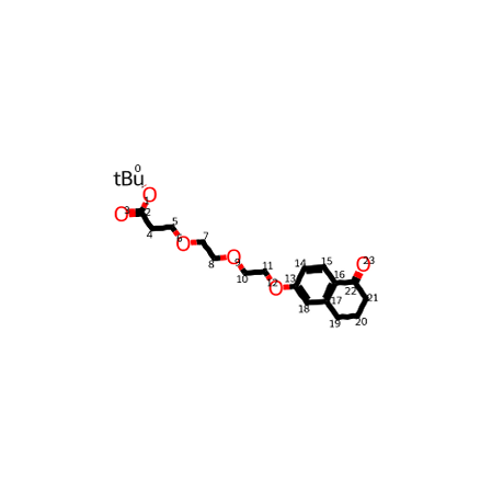 CC(C)(C)OC(=O)CCOCCOCCOc1ccc2c(c1)CCCC2=O